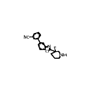 N#Cc1cccc(-c2ccc3oc(C4(F)CCCNC4)nc3c2)c1